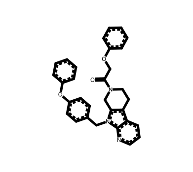 O=C(COc1cc[c]cc1)N1CCc2c(n(Cc3ccc(Oc4ccccc4)cc3)c3ncccc23)C1